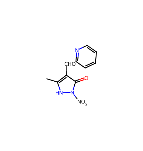 Cc1[nH]n([N+](=O)[O-])c(=O)c1C=O.c1ccncc1